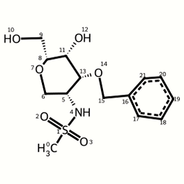 CS(=O)(=O)N[C@@H]1CO[C@H](CO)[C@H](O)[C@@H]1OCc1ccccc1